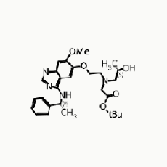 COc1cc2ncnc(N[C@H](C)c3ccccc3)c2cc1OCCN(CC(=O)OC(C)(C)C)C[C@H](C)O